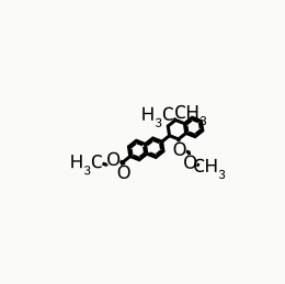 CCOC(=O)c1ccc2cc(C3CC(C)(C)c4ccccc4C3OCOC)ccc2c1